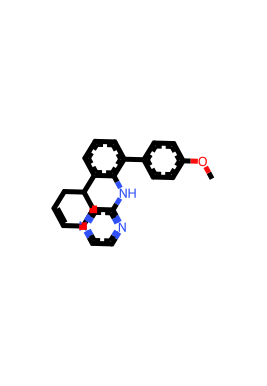 COc1ccc(-c2cccc(C3CC=CCC3)c2Nc2cnccn2)cc1